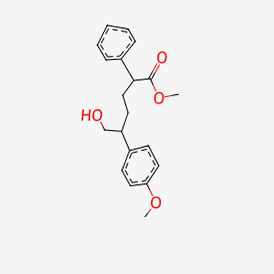 COC(=O)C(CCC(CO)c1ccc(OC)cc1)c1ccccc1